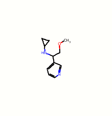 COCC(NC1CC1)c1cccnc1